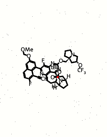 C#Cc1c(F)ccc2cc(OCOC)cc(-c3nc4c5c(nc(OC[C@@]67CCCN6C[C@@H](OC(F)(F)F)C7)nc5c3F)N3C[C@H]5CC[C@@H]([C@H]3CC4)N5C(=O)OC(C)(C)C)c12